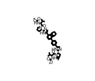 COC(=O)N[C@H](C(=O)N1CCC[C@H]1c1ncc(-c2ccc(-c3ccc(-c4cnc([C@@H]5CC6CC6N5C(=O)[C@@H](NC(=O)OC)C(C)C)[nH]4)cc3)c3c2C2CCC3C2)[nH]1)C(C)C